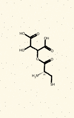 N[C@@H](CS)C(=O)OC(C(=O)O)C(O)C(=O)O